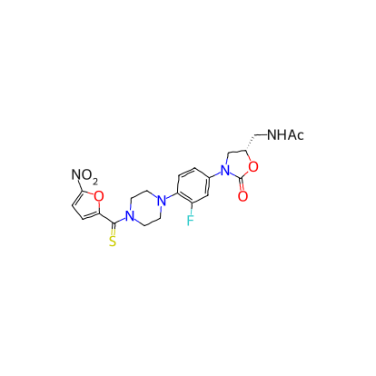 CC(=O)NC[C@H]1CN(c2ccc(N3CCN(C(=S)c4ccc([N+](=O)[O-])o4)CC3)c(F)c2)C(=O)O1